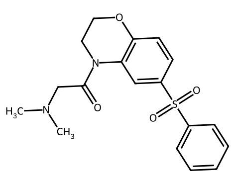 CN(C)CC(=O)N1CCOc2ccc(S(=O)(=O)c3ccccc3)cc21